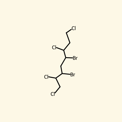 ClCCC(Cl)C(Br)CC(Br)C(Cl)CCl